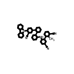 Cc1c(C#N)cccc1-c1cc(C#N)ccc1Nc1ccccc1-c1ccccc1-c1ccc(-n2c3ccccc3c3ccccc32)c(C#N)c1